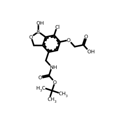 CC(C)(C)OC(=O)NCc1cc(OCC(=O)O)c(Cl)c2c1COB2O